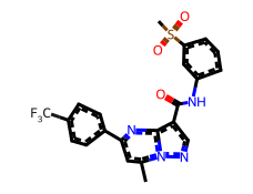 Cc1cc(-c2ccc(C(F)(F)F)cc2)nc2c(C(=O)Nc3cccc(S(C)(=O)=O)c3)cnn12